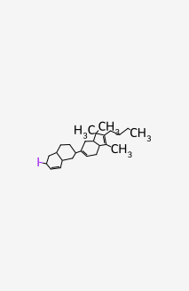 CCCCC1=C(C)C2CC=C(C3CCC4CC(I)C=CC4C3)CC2C1(C)C